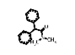 CN(C)C(=O)C(c1ccccc1)c1ccccc1